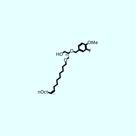 CCCCCCCC/C=C\CCCCCCCCOC[C@H](CO)OCc1ccc(OC)c(F)c1